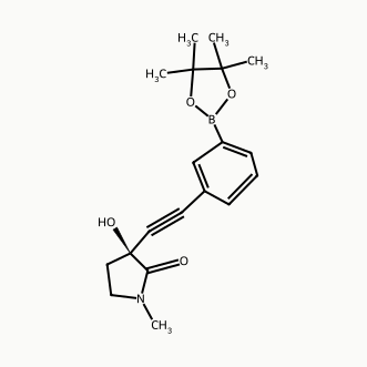 CN1CC[C@](O)(C#Cc2cccc(B3OC(C)(C)C(C)(C)O3)c2)C1=O